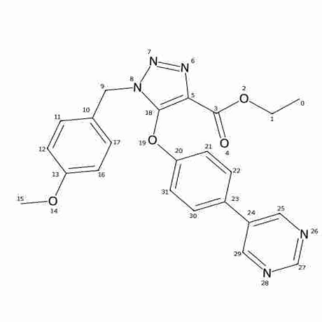 CCOC(=O)c1nnn(Cc2ccc(OC)cc2)c1Oc1ccc(-c2cncnc2)cc1